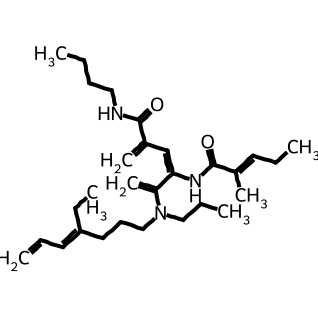 C=C/C=C(\CC)CCCN(CCC)C(=C)/C(=C\C(=C)C(=O)NCCCC)NC(=O)/C(C)=C/CC